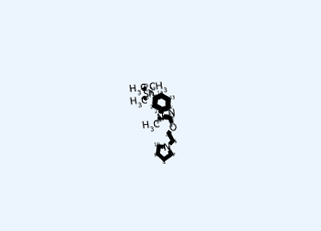 Cn1c(OCCN2CCCC2)nc2cc[c]([Sn]([CH3])([CH3])[CH3])cc21